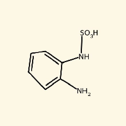 Nc1ccccc1NS(=O)(=O)O